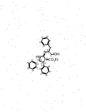 CCOC(=O)N1C(=N[C@H](CO)Cc2ccccc2)N[C@@H](c2ccccc2)[C@@H]1c1ccccc1